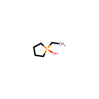 CC[P]1(O)CCCC1